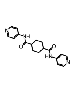 O=C(Nc1ccncc1)C1CCC(C(=O)Nc2ccncc2)CC1